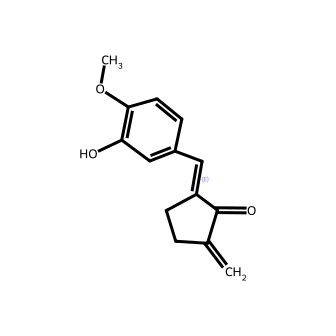 C=C1CC/C(=C\c2ccc(OC)c(O)c2)C1=O